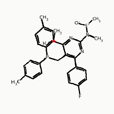 Cc1ccc(P(Cc2c(-c3ccc(F)cc3)nc(N(C)[S+](C)[O-])nc2C(C)C)c2ccc(C)cc2)cc1